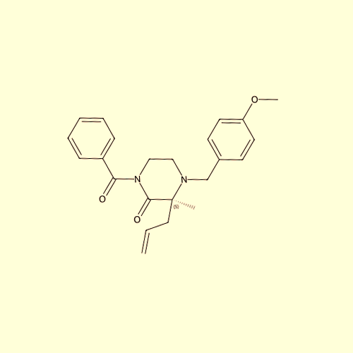 C=CC[C@@]1(C)C(=O)N(C(=O)c2ccccc2)CCN1Cc1ccc(OC)cc1